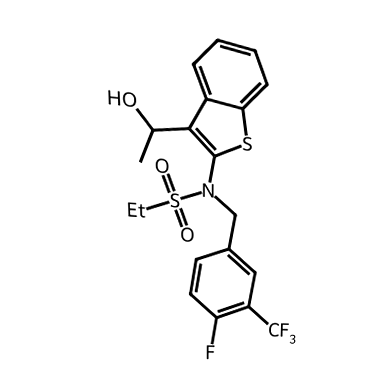 CC(O)c1c(N(Cc2ccc(F)c(C(F)(F)F)c2)S(=O)(=O)C[11CH3])sc2ccccc12